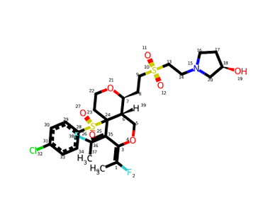 C/C(F)=C1/OC[C@H]2[C@H](CCS(=O)(=O)CCN3CC[C@@H](O)C3)OCCC2(S(=O)(=O)c2ccc(Cl)cc2)/C1=C(/C)F